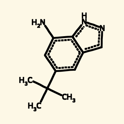 CC(C)(C)c1cc(N)c2[nH]ncc2c1